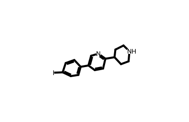 Ic1ccc(-c2ccc(C3CCNCC3)nc2)cc1